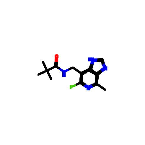 Cc1nc(F)c(CNC(=O)C(C)(C)C)c2[nH]cnc12